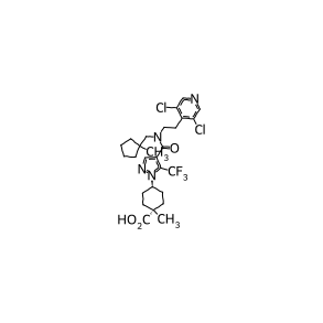 CC1(CN(CCc2c(Cl)cncc2Cl)C(=O)c2cnn([C@H]3CC[C@](C)(C(=O)O)CC3)c2C(F)(F)F)CCCC1